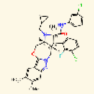 COc1cc2nn3c(c2cc1C(=O)O)OC[C@H]1[C@@H](C3)[C@H](c2cccc(Cl)c2F)[C@](C)(C(=O)Nc2cccc(Cl)c2)N1CC1CC1